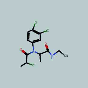 CC(Cl)C(=O)N(c1ccc(Cl)c(Cl)c1)C(C)C(=O)NCC#N